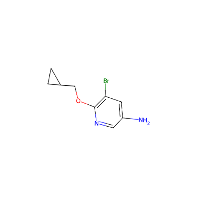 Nc1cnc(OCC2CC2)c(Br)c1